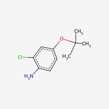 CC(C)(C)Oc1ccc(N)c(Cl)c1